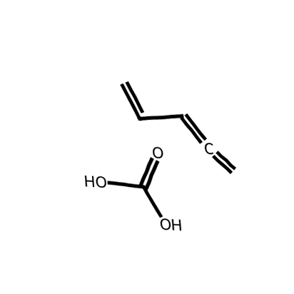 C=C=CC=C.O=C(O)O